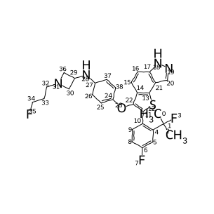 CC(C)(F)c1cc(F)ccc1-c1sc2c(ccc3[nH]ncc32)c1OC1=CCC(NC2CN(CCCF)C2)C=C1